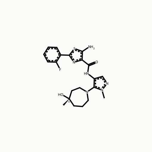 Cn1ncc(NC(=O)c2nc(-c3ccccc3F)sc2N)c1N1CCC[C@](C)(O)CC1